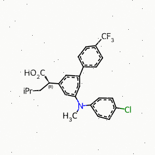 CC(C)C[C@@H](C(=O)O)c1cc(-c2ccc(C(F)(F)F)cc2)cc(N(C)c2ccc(Cl)cc2)c1